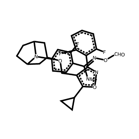 CN/C(=N\OC=O)c1ccc(N2C3CCC2CC(OCc2c(-c4c(F)cccc4F)noc2C2CC2)C3)cc1F